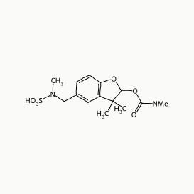 CNC(=O)OC1Oc2ccc(CN(C)S(=O)(=O)O)cc2C1(C)C